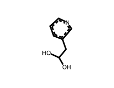 OC(O)Cc1cccnc1